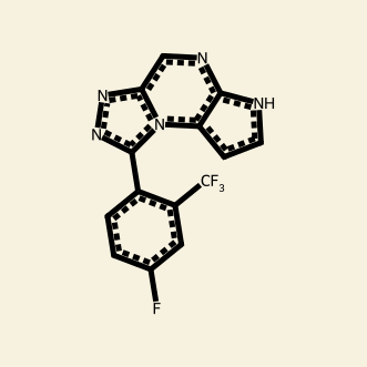 Fc1ccc(-c2nnc3cnc4[nH]ccc4n23)c(C(F)(F)F)c1